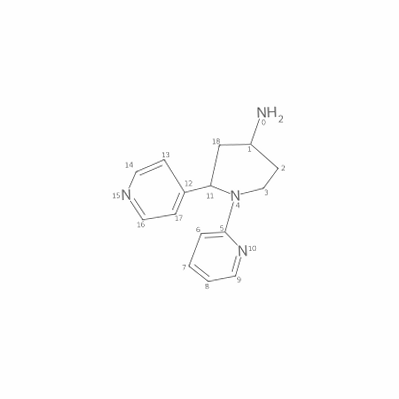 NC1CCN(c2ccccn2)C(c2ccncc2)C1